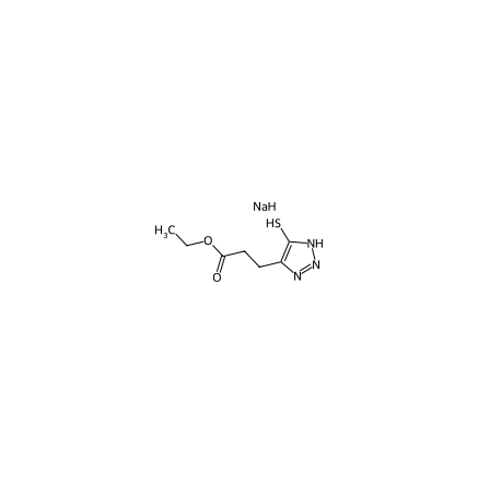 CCOC(=O)CCc1nn[nH]c1S.[NaH]